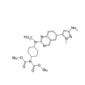 Cn1nc(N)cc1-c1ccc2nc(N(C(=O)O)C3CCC(N(C(=O)OC(C)(C)C)C(=O)OC(C)(C)C)CC3)ncc2c1